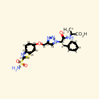 CC(NC(=O)[C@H](Cc1ccccc1)n1cc(COc2ccc3nc(S(N)(=O)=O)sc3c2)nn1)C(=O)O